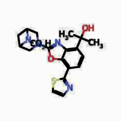 CC(C)(O)c1ccc(-c2nccs2)c2oc(N3CC4CC(C3)N4C(=O)O)nc12